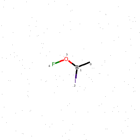 CB(I)OF